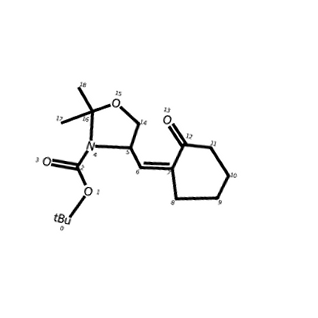 CC(C)(C)OC(=O)N1C(C=C2CCCCC2=O)COC1(C)C